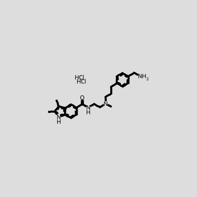 Cc1[nH]c2ccc(C(=O)NCCN(C)CCCc3ccc(CN)cc3)cc2c1C.Cl.Cl